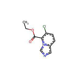 CCOC(=O)c1c(Cl)ccc2cncn12